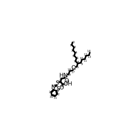 CCCCCCCCC(CCCCCC)COCCCNC(=O)CC(Sc1nc2ccccc2s1)C(=O)O